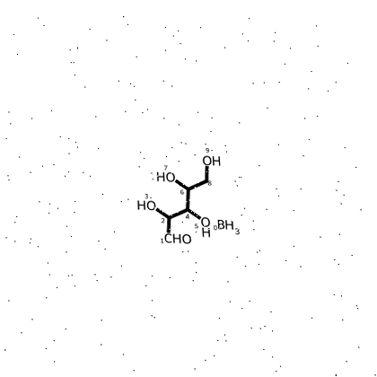 B.O=CC(O)C(O)C(O)CO